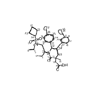 CCC(CN(CC)S(=O)(=O)C1CCC1)N1C(=O)C(C)(CC(=O)O)CC(c2cccc(Cl)c2)C1c1ccc(Cl)cc1